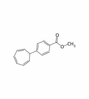 COC(=O)c1ccc(C2C=CC=CC=C2)cc1